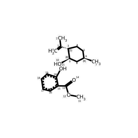 C=C(C)[C@@H]1CC[C@@H](C)C[C@H]1O.COC(=O)c1ccccc1O